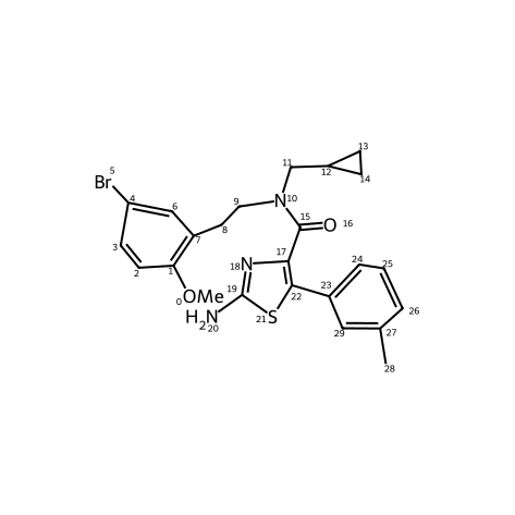 COc1ccc(Br)cc1CCN(CC1CC1)C(=O)c1nc(N)sc1-c1cccc(C)c1